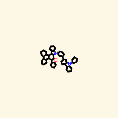 c1ccc(-n2c3ccccc3c3ccc(-c4cccc(-n5c6ccccc6c6c7c8ccccc8c8ccccc8c7c7c8ccccc8oc7c65)c4)cc32)cc1